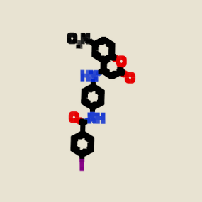 O=C(Nc1ccc(Nc2cc(=O)oc3ccc([N+](=O)[O-])cc23)cc1)c1ccc(I)cc1